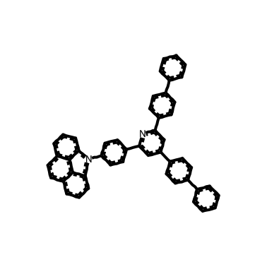 c1ccc(-c2ccc(-c3cc(-c4ccc(-c5ccccc5)cc4)nc(-c4ccc(-n5c6cccc7ccc8cccc5c8c76)cc4)c3)cc2)cc1